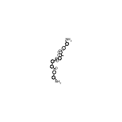 Cc1c(CC(=O)N2CCC(c3cccc(CN)c3)CC2)c(=O)oc2c3c(ccc12)OB(c1cccc(-c2cccc(C(=O)N4CCC(c5cccc(CN)c5)CC4)c2)c1)O3